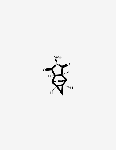 CNN1C(=O)[C@@H]2C3CCC([C@H]4C[C@@H]34)[C@@H]2C1=O